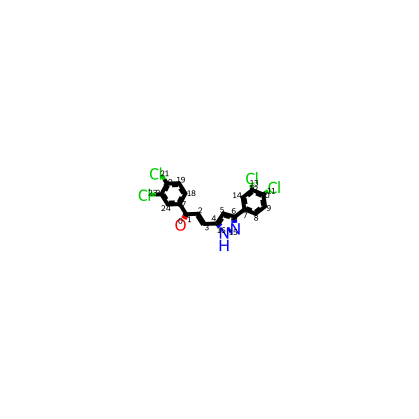 O=C(C=Cc1cc(-c2ccc(Cl)c(Cl)c2)n[nH]1)c1ccc(Cl)c(Cl)c1